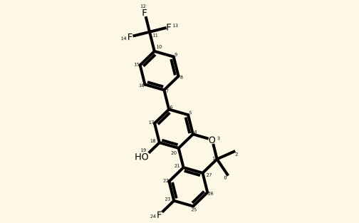 CC1(C)Oc2cc(-c3ccc(C(F)(F)F)cc3)cc(O)c2-c2cc(F)ccc21